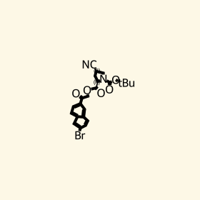 CC(C)(C)OC(=O)N1C[C@H](C#N)C[C@@H]1C(=O)OCC(=O)c1ccc2cc(Br)ccc2c1